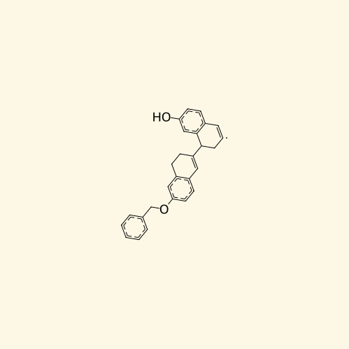 Oc1ccc2c(c1)C(C1=Cc3ccc(OCc4ccccc4)cc3CC1)C[C]=C2